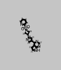 O=S(=O)(c1ccccn1)N1CC(n2cc(-c3ncnc4[nH]ccc34)cn2)C1